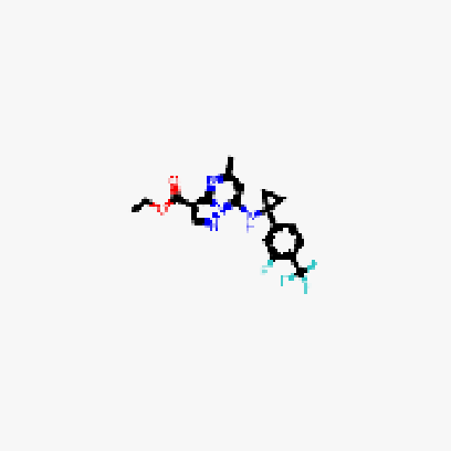 CCOC(=O)c1cnn2c(NC3(c4ccc(C(F)(F)F)c(F)c4)CC3)cc(C)nc12